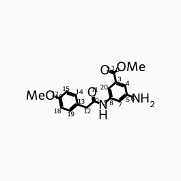 COC(=O)c1cc(N)cc(NC(=O)Cc2ccc(OC)cc2)c1